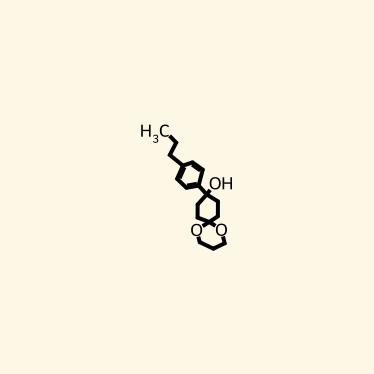 CCCc1ccc(C2(O)CCC3(CC2)OCCCO3)cc1